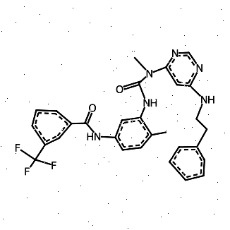 Cc1ccc(NC(=O)c2cccc(C(F)(F)F)c2)cc1NC(=O)N(C)c1cc(NCCc2ccccc2)ncn1